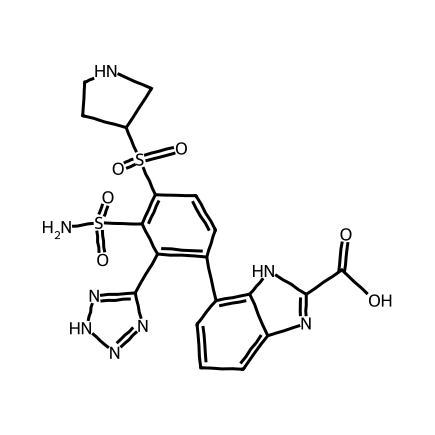 NS(=O)(=O)c1c(S(=O)(=O)C2CCNC2)ccc(-c2cccc3nc(C(=O)O)[nH]c23)c1-c1nn[nH]n1